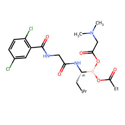 CCC(=O)OB(OC(=O)CN(C)C)[C@H](CC(C)C)NC(=O)CNC(=O)c1cc(Cl)ccc1Cl